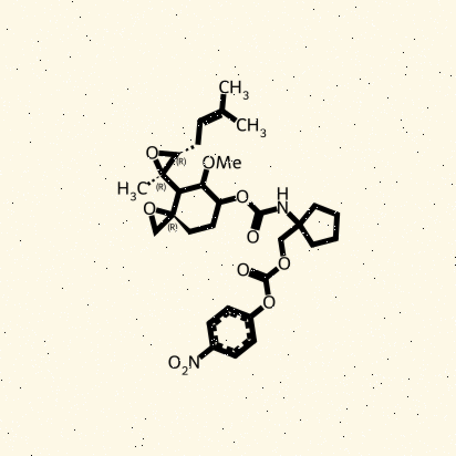 COC1C(OC(=O)NC2(COC(=O)Oc3ccc([N+](=O)[O-])cc3)CCCC2)CC[C@]2(CO2)C1[C@@]1(C)O[C@@H]1CC=C(C)C